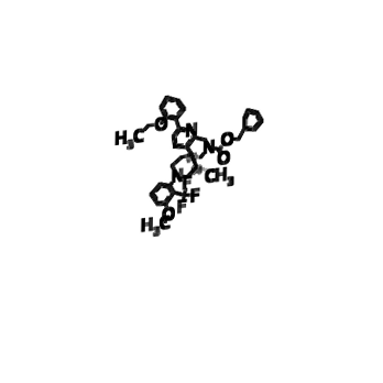 CCOc1ccccc1-c1ccc2c(n1)CN(C(=O)OCc1ccccc1)C[C@]21CCN(c2cccc(OC)c2C(F)(F)F)C[C@H]1CC